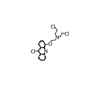 ClCCN(CCCl)CCOc1cccc2c(Cl)c3ccccc3nc12